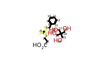 O=C(O)CCSC(=S)SCc1ccccc1.OCC(CO)(CO)CO